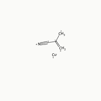 C=C(C)C#N.[Cu]